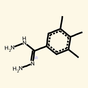 Cc1cc(/C(=N/N)NN)cc(C)c1C